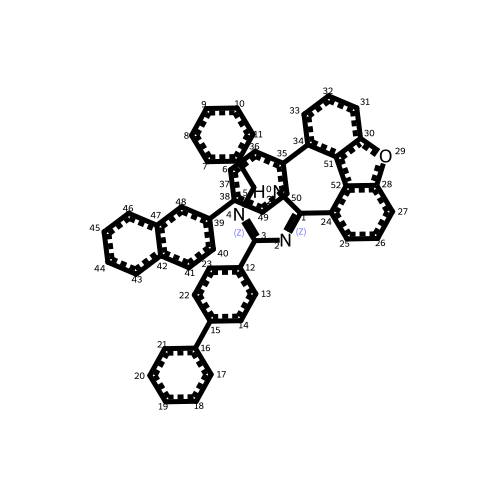 N/C(=N\C(=N/Cc1ccccc1)c1ccc(-c2ccccc2)cc1)c1cccc2oc3cccc(-c4ccc(-c5ccc6ccccc6c5)cc4)c3c12